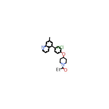 CCC(=O)N1CCC(Oc2ccc(-c3cc(C)cc4ncccc34)cc2)CC1.Cl